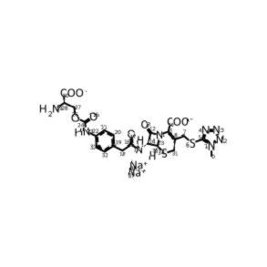 Cn1nnnc1SCC1=C(C(=O)[O-])N2C(=O)[C@@H](NC(=O)Cc3ccc(NC(=O)OC[C@@H](N)C(=O)[O-])cc3)[C@@H]2SC1.[Na+].[Na+]